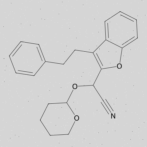 N#CC(OC1CCCCO1)c1oc2ccccc2c1CCc1ccccc1